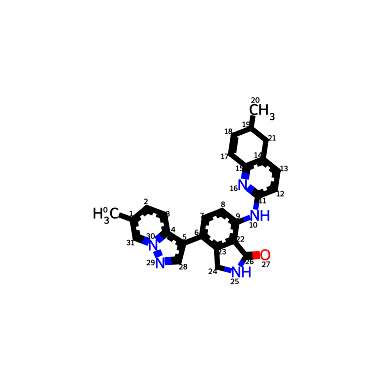 Cc1ccc2c(-c3ccc(Nc4ccc5c(n4)C=CC(C)C5)c4c3CNC4=O)cnn2c1